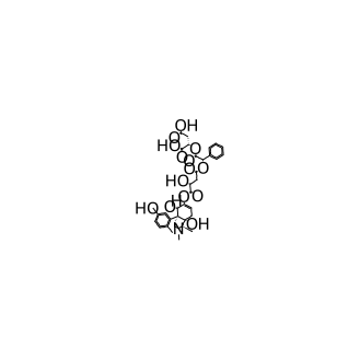 Cc1ccc(O)c2c1[C@]13CCN(C)[C@H](C)[C@]1(O)CC=C(OC(=O)[C@@H](O)CC(=O)O[C@H](C(=O)O[C@@H](CC(=O)O)C(=O)O)c1ccccc1)[C@@H]3O2